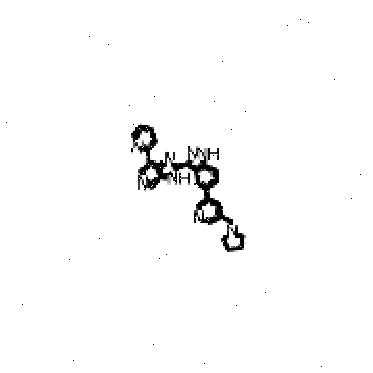 c1ccc(-c2cncc3[nH]c(-c4n[nH]c5ccc(-c6cncc(CN7CCCC7)c6)cc45)nc23)nc1